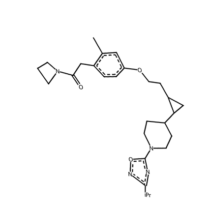 Cc1cc(OCCC2CC2C2CCN(c3nc(C(C)C)no3)CC2)ccc1CC(=O)N1CCC1